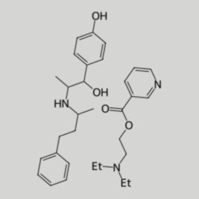 CC(CCc1ccccc1)NC(C)C(O)c1ccc(O)cc1.CCN(CC)CCOC(=O)c1cccnc1